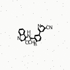 C[C@@H](Nc1c(Cl)cnc2ccccc12)c1cc(-c2cncc(C#N)c2)ccc1F